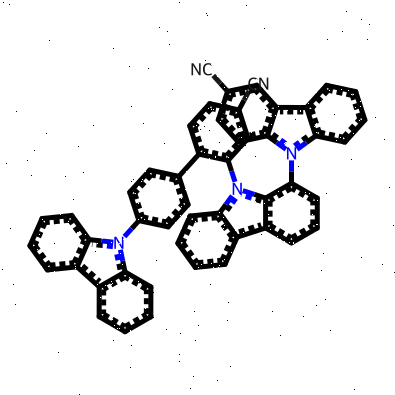 N#Cc1ccc(-c2ccc(-n3c4ccccc4c4ccccc43)cc2)c(-n2c3ccccc3c3cccc(-n4c5ccccc5c5cc(C#N)ccc54)c32)c1